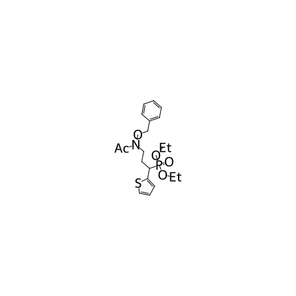 CCOP(=O)(OCC)C(CCN(OCc1ccccc1)C(C)=O)c1cccs1